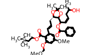 COCOc1cc(OC)cc(/C=C/C[C@@H]2OC(C)(C)OC2C(/C=C\CC(C)O)OC(=O)c2ccccc2)c1C(=O)OCC[Si](C)(C)C